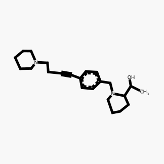 CC(O)C1CCCCN1Cc1ccc(C#CCCN2CCCCC2)cc1